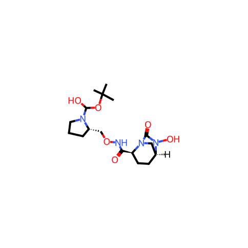 CC(C)(C)OC(O)N1CCC[C@H]1CONC(=O)[C@@H]1CC[C@H]2CN1C(=O)N2O